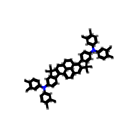 Cc1ccc(N(c2ccc(C)c(C)c2)c2ccc3c(c2)C(C)(C)c2cc4ccc5c6c(cc7ccc(c2-3)c4c75)C(C)(C)c2cc(N(c3ccc(C)c(C)c3)c3ccc(C)c(C)c3)ccc2-6)cc1C